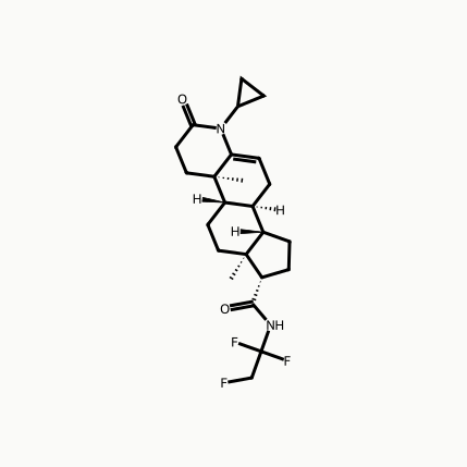 C[C@]12CC[C@H]3[C@@H](CC=C4N(C5CC5)C(=O)CC[C@@]43C)[C@@H]1CC[C@@H]2C(=O)NC(F)(F)CF